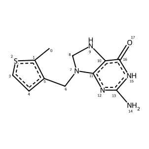 Cc1sccc1CN1CNc2c1nc(N)[nH]c2=O